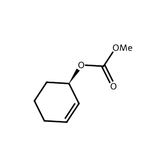 COC(=O)O[C@H]1C=CCCC1